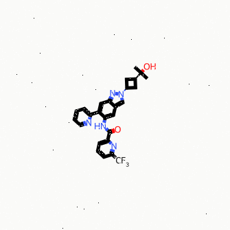 CC(C)(O)[C@H]1C[C@H](n2cc3cc(NC(=O)c4cccc(C(F)(F)F)n4)c(-c4ccccn4)cc3n2)C1